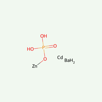 O=P(O)(O)[O][Zn].[BaH2].[Cd]